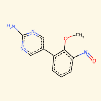 COc1c(N=O)cccc1-c1cnc(N)nc1